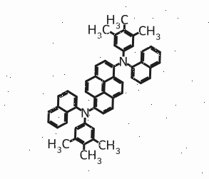 Cc1cc(N(c2cccc3ccccc23)c2ccc3ccc4c(N(c5cc(C)c(C)c(C)c5)c5cccc6ccccc56)ccc5ccc2c3c54)cc(C)c1C